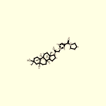 C[C@@]1(O)CC[C@@]2(C)[C@H](CC[C@@H]3[C@@H]2CC[C@]2(C)[C@@H](C(=O)Cn4ncc(C(=O)N5CCCC5)n4)CC[C@@H]32)C1